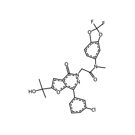 CN(C(=O)Cn1nc(-c2cccc(Cl)c2)c2oc(C(C)(C)O)cc2c1=O)c1ccc2c(c1)OC(F)(F)O2